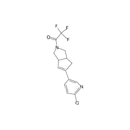 O=C(N1CC2C=C(c3ccc(Cl)nc3)CC2C1)C(F)(F)F